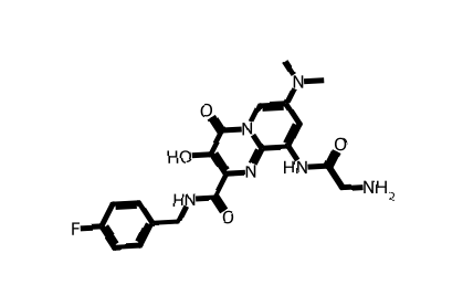 CN(C)c1cc(NC(=O)CN)c2nc(C(=O)NCc3ccc(F)cc3)c(O)c(=O)n2c1